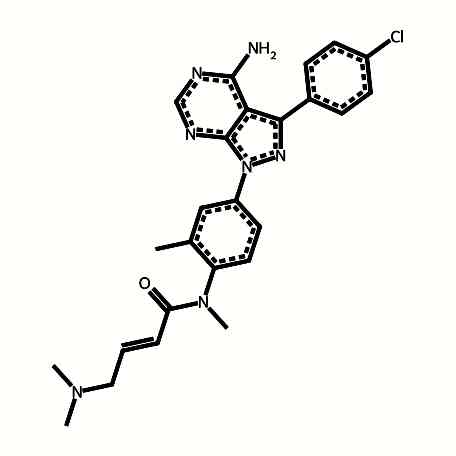 Cc1cc(-n2nc(-c3ccc(Cl)cc3)c3c(N)ncnc32)ccc1N(C)C(=O)/C=C/CN(C)C